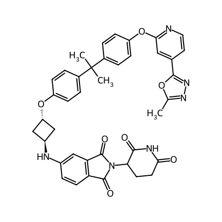 Cc1nnc(-c2ccnc(Oc3ccc(C(C)(C)c4ccc(O[C@H]5C[C@H](Nc6ccc7c(c6)C(=O)N(C6CCC(=O)NC6=O)C7=O)C5)cc4)cc3)c2)o1